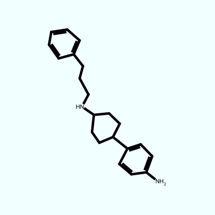 Nc1ccc(C2CCC(NCCCc3ccccc3)CC2)cc1